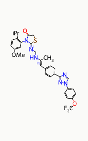 COc1ccc(C(C)C)c(N2C(=O)CS/C2=N\CN/C(C)=C/c2ccc(-c3ncn(-c4ccc(OC(F)(F)F)cc4)n3)cc2)c1